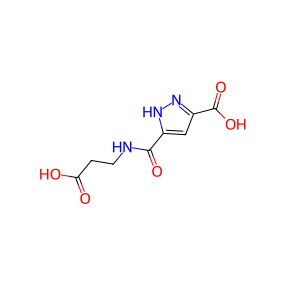 O=C(O)CCNC(=O)c1cc(C(=O)O)n[nH]1